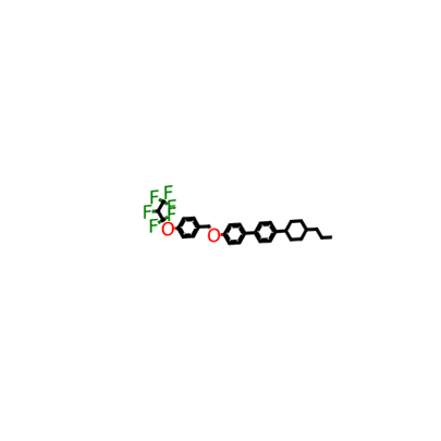 CCCC1CCC(c2ccc(-c3ccc(OCc4ccc(OC(F)(F)C(F)C(F)(F)F)cc4)cc3)cc2)CC1